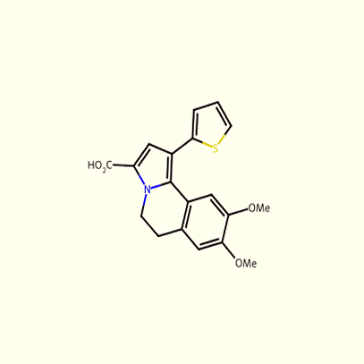 COc1cc2c(cc1OC)-c1c(-c3cccs3)cc(C(=O)O)n1CC2